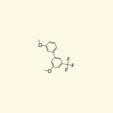 COc1cccc(-c2cc(OC)cc(C(F)(F)F)c2)c1